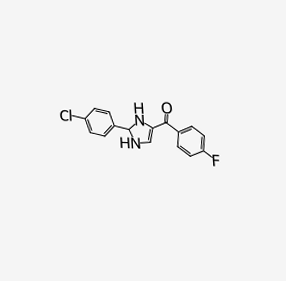 O=C(C1=CNC(c2ccc(Cl)cc2)N1)c1ccc(F)cc1